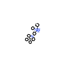 c1ccc(-c2nnc(-c3ccc(N4c5ccccc5C(c5ccccc5)(c5ccccc5)c5ccccc54)cc3)n2-c2ccccc2)cc1